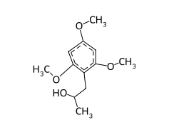 COc1cc(OC)c(CC(C)O)c(OC)c1